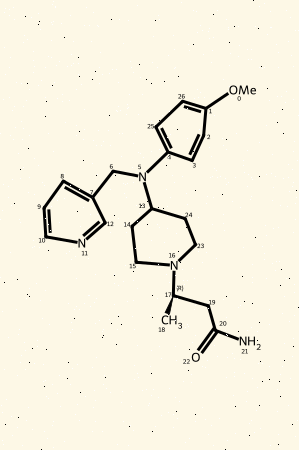 COc1ccc(N(Cc2cccnc2)C2CCN([C@H](C)CC(N)=O)CC2)cc1